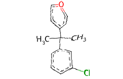 CC(C)(c1ccoc1)c1cccc(Cl)c1